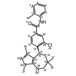 Cc1ncccc1NC(=O)c1ccc([C@H]2SC(C)(C)CNc3c2c(C)nn3C)c(Cl)c1